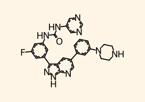 O=C(Nc1cncnc1)Nc1cc(F)cc(-c2n[nH]c3ncc(-c4cccc(N5CCNCC5)c4)cc23)c1